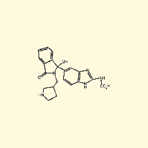 O=C(O)Nc1nc2cc(C3(O)c4ccccc4C(=O)N3CC3CCNC3)ccc2[nH]1